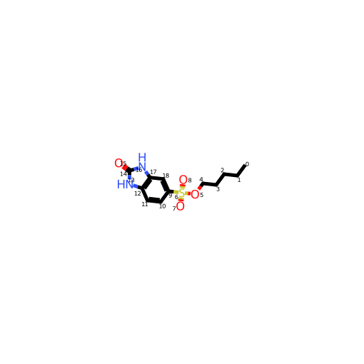 CCCCCOS(=O)(=O)c1ccc2[nH]c(=O)[nH]c2c1